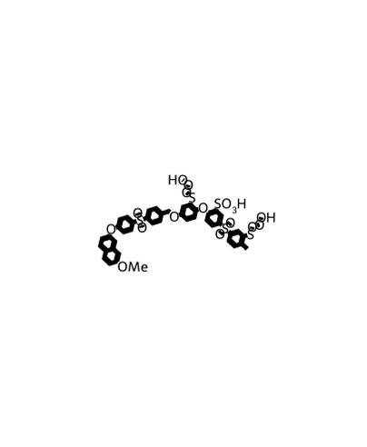 COc1ccc2ccc(Oc3ccc(S(=O)(=O)c4ccc(COc5ccc(Oc6ccc(S(=O)(=O)c7ccc(C)c(SOOO)c7)cc6S(=O)(=O)O)c(SOOO)c5)cc4)cc3)cc2c1